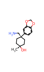 C[C@]1(O)CC[C@@](CN)(c2ccc3c(c2)OCO3)CC1